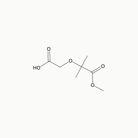 COC(=O)C(C)(C)OCC(=O)O